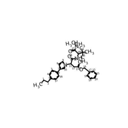 CCCc1ccc(-c2ccn(C(CC(=O)OCc3ccccc3)C(=O)NC(C(=O)NC)C(C)(C)C)c2)cc1